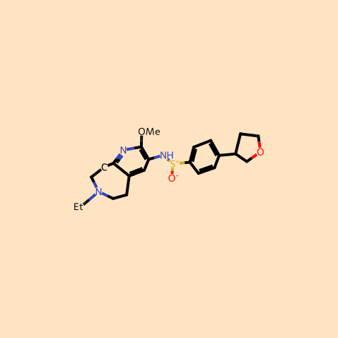 CCN1CCc2cc(N[S+]([O-])c3ccc(C4CCOC4)cc3)c(OC)nc2CC1